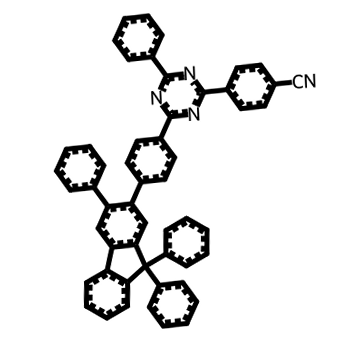 N#Cc1ccc(-c2nc(-c3ccccc3)nc(-c3ccc(-c4cc5c(cc4-c4ccccc4)-c4ccccc4C5(c4ccccc4)c4ccccc4)cc3)n2)cc1